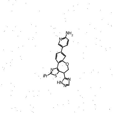 CC(C)c1nc2c(s1)C(c1ncn[nH]1)COc1cc(-c3ccc(N)nc3)ccc1-2